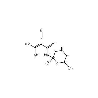 CC(O)=C(C#N)C(=O)NC1(C)CNCC(C)O1